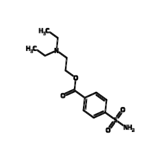 CCN(CC)CCOC(=O)c1ccc(S(N)(=O)=O)cc1